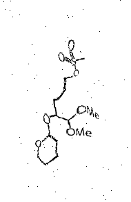 COC(OC)C(CCCOS(C)(=O)=O)OC1CCCCO1